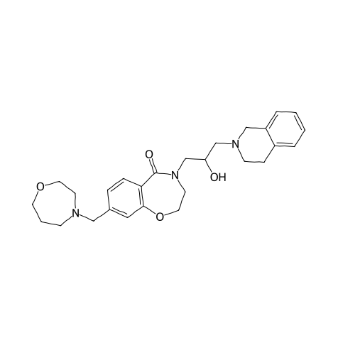 O=C1c2ccc(CN3CCCOCC3)cc2OCCN1CC(O)CN1CCc2ccccc2C1